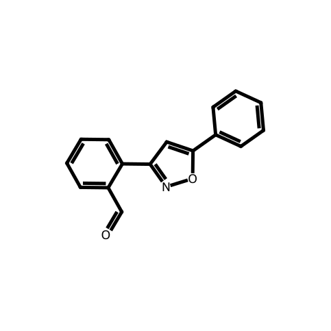 O=Cc1ccccc1-c1cc(-c2ccccc2)on1